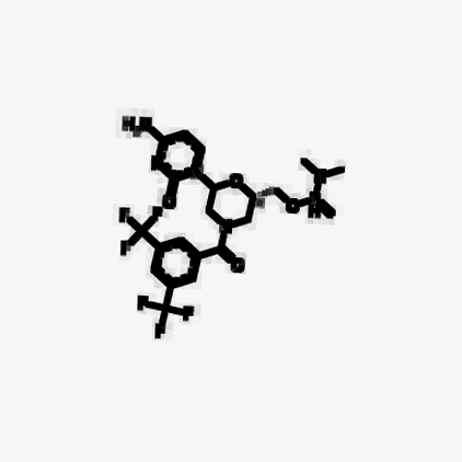 C=[PH](OC[C@@H]1CN(C(=O)c2cc(C(F)(F)F)cc(C(F)(F)F)c2)CC(n2ccc(N)nc2=O)O1)N(C)C